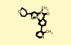 Cc1ncccc1-c1ccc2c(=O)n(C)c3cc(C4CCOCC4)nn3c2c1